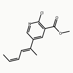 C/C=C\C=C(/C)c1cnc(Cl)c(C(=O)OC)c1